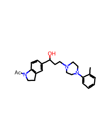 CC(=O)N1CCc2cc(C(O)CCN3CCN(c4ccccc4C)CC3)ccc21